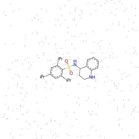 CC(C)c1cc(C(C)C)c(S(=O)(=O)NC2CCNc3ccccc32)c(C(C)C)c1